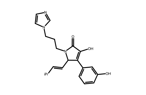 CC(C)C=CC1C(c2cccc(O)c2)=C(O)C(=O)N1CCCn1ccnc1